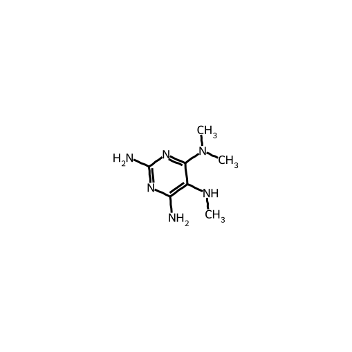 CNc1c(N)nc(N)nc1N(C)C